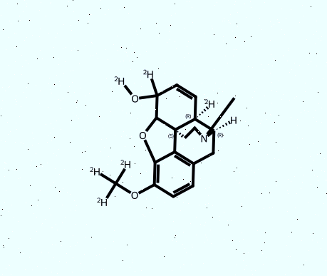 [2H]OC1([2H])C=C[C@@]2([2H])[C@H]3Cc4ccc(OC([2H])([2H])[2H])c5c4[C@@]2(CCN3C)C1O5